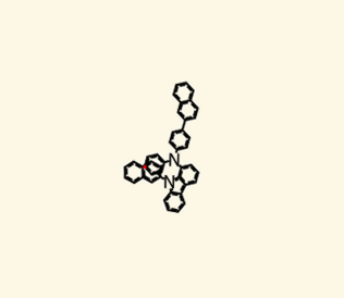 c1ccc(N(c2ccc(-c3ccc4ccccc4c3)cc2)c2cccc3c4ccccc4n(-c4ccc5ccccc5c4)c23)cc1